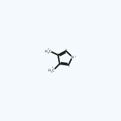 CC1=C[N]C=C1C